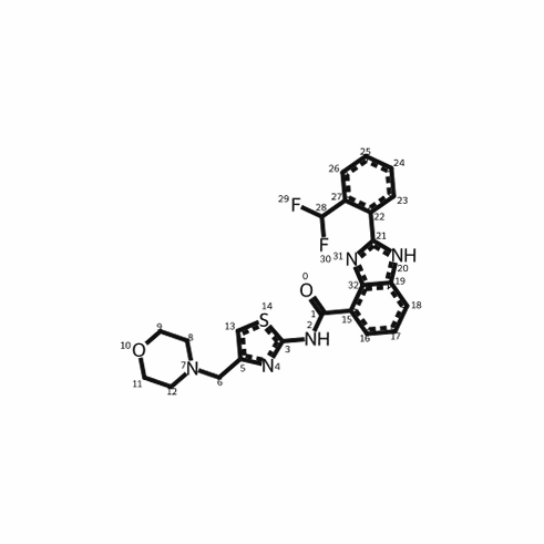 O=C(Nc1nc(CN2CCOCC2)cs1)c1cccc2[nH]c(-c3ccccc3C(F)F)nc12